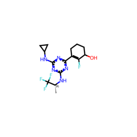 C[C@@H](Nc1nc(NC2CC2)nc(C2=C(F)C(O)CCC2)n1)C(F)(F)F